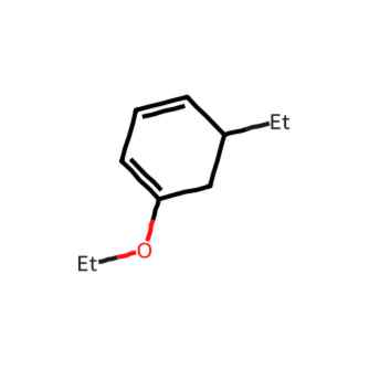 CCOC1=CC=CC(CC)C1